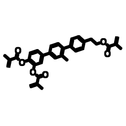 C=C(C)C(=O)OCCc1ccc(-c2ccc(-c3ccc(OC(=O)C(=C)C)c(OC(=O)C(=C)C)c3)cc2C)cc1